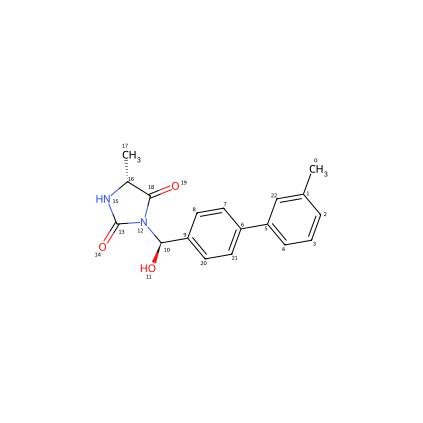 Cc1cccc(-c2ccc([C@@H](O)N3C(=O)N[C@H](C)C3=O)cc2)c1